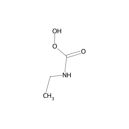 CCNC(=O)OO